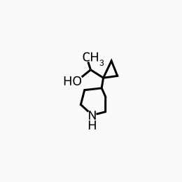 CC(O)C1(C2CCNCC2)CC1